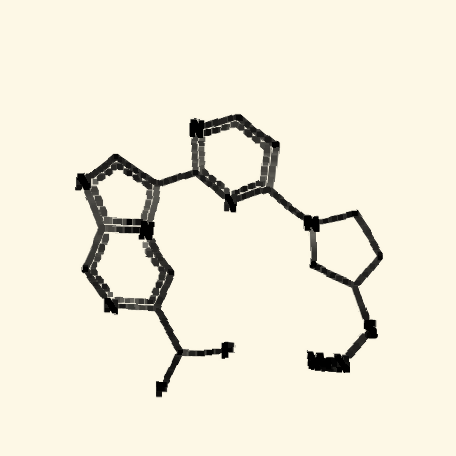 CNSC1CCN(c2ccnc(-c3cnc4cnc(C(F)F)cn34)n2)C1